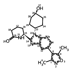 Cc1noc(C)c1-c1cnc2c(c1)nc([C@@H]1CCCC(=O)N1)n2[C@H]1CC[C@H](O)CC1